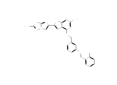 COc1cc(OCc2cccc(OCc3ccccc3C(F)(F)F)c2)c2cc(-c3cn4nc(OC)sc4n3)oc2c1